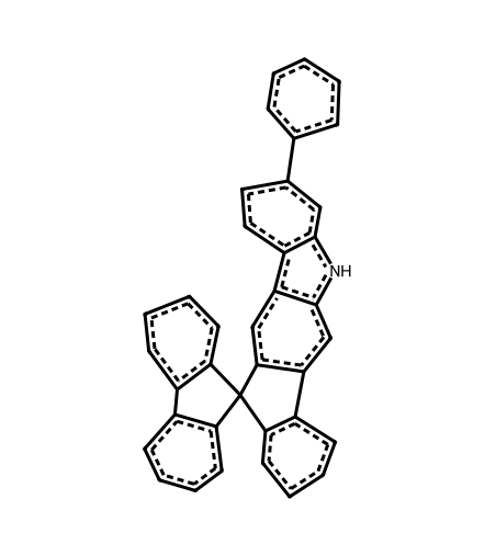 c1ccc(-c2ccc3c(c2)[nH]c2cc4c(cc23)C2(c3ccccc3-c3ccccc32)c2ccccc2-4)cc1